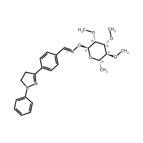 CO[C@@H]1[C@@H](OC)[C@H](C)O[C@@H](O/N=C/c2ccc(C3=NN(c4ccccc4)CC3)cc2)[C@@H]1OC